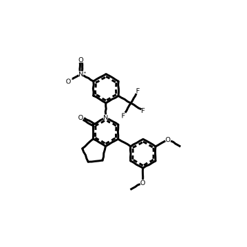 COc1cc(OC)cc(-c2cn(-c3cc([N+](=O)[O-])ccc3C(F)(F)F)c(=O)c3c2CCC3)c1